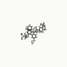 COCc1ccc([C@@](Cc2ccccc2)(NC(=O)c2ccc(F)c(C(F)(F)F)c2)c2cc(F)cc(OC(F)(F)C(F)F)c2)cc1